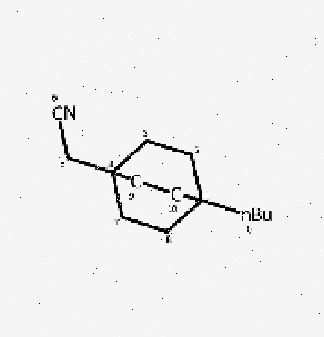 CCCCC12CCC(CC#N)(CC1)CC2